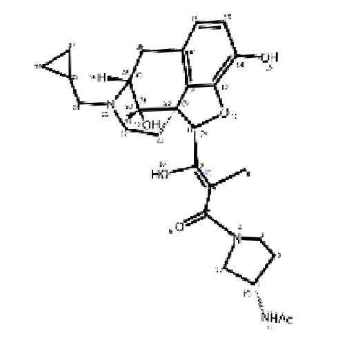 CC(=O)N[C@H]1CCN(C(=O)/C(C)=C(\O)[C@@H]2Oc3c(O)ccc4c3[C@@]23CCN(CC2CC2)[C@H](C4)[C@@]3(C)O)C1